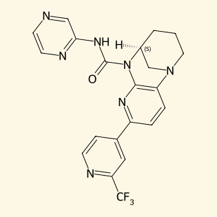 O=C(Nc1cnccn1)N1c2nc(-c3ccnc(C(F)(F)F)c3)ccc2N2CCC[C@H]1C2